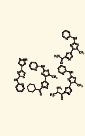 Cc1sc(Nc2ccccn2)nc1-c1cnn(C(=O)C(C)C)c1.Cc1sc(Nc2ccccn2)nc1-c1cnn(C(=O)C2CCCCC2)c1.Cc1sc(Nc2ccccn2)nc1-c1cnn(C(N)=O)c1.c1ccc(Nc2nc(-c3cn[nH]c3)cs2)nc1